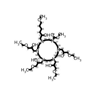 CCOCC(O)CN1CCN(CC(O)CCCCOC)CCN(C(=O)OC)CCN(CC(O)COCC)CCN(CC(O)COCC)CCN(CC(O)COCC)CC1